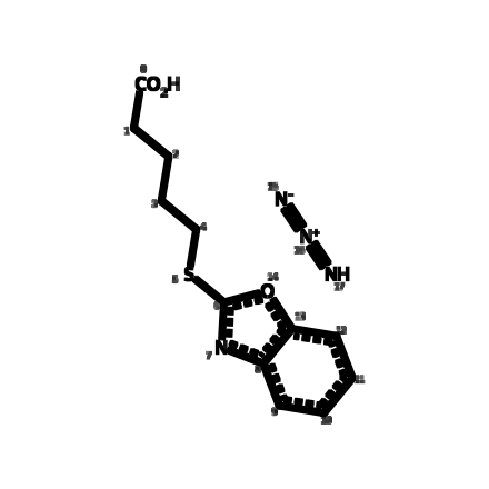 O=C(O)CCCCSc1nc2ccccc2o1.[N-]=[N+]=N